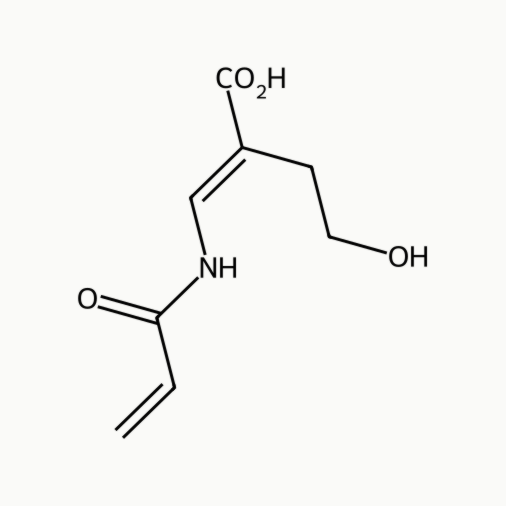 C=CC(=O)NC=C(CCO)C(=O)O